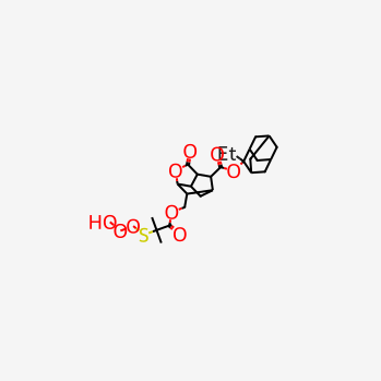 CCC1(OC(=O)C2C3CC4C(OC(=O)C42)C3COC(=O)C(C)(C)SOOO)C2CC3CC(C2)CC1C3